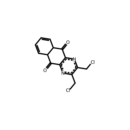 O=C1c2nc(CCl)c(CCl)nc2C(=O)C2C=CC=CC12